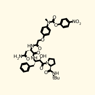 CN(C(=O)Oc1ccc([N+](=O)[O-])cc1)c1ccc(OCC(=O)N[C@@H](CC(N)=O)C(=O)N[C@@H](Cc2ccccc2)[C@H](O)C(=O)N2CCC[C@H]2C(=O)NC(C)(C)C)cc1